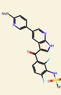 CCCS(=O)(=O)Nc1c(F)ccc(C(=O)c2c[nH]c3ncc(-c4ccc(NC)nc4)cc23)c1F